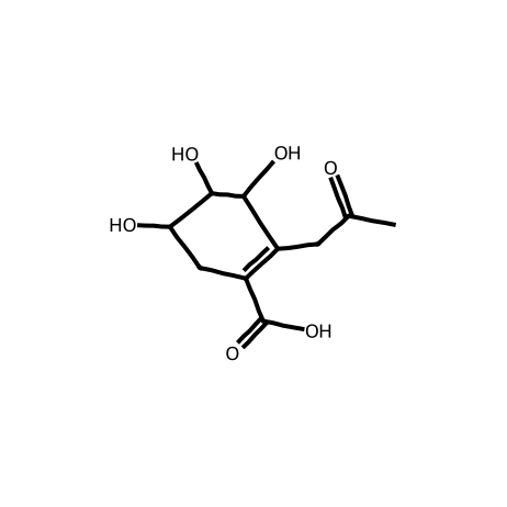 CC(=O)CC1=C(C(=O)O)CC(O)C(O)C1O